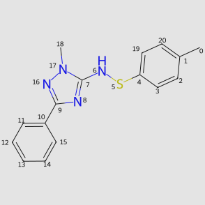 Cc1ccc(SNc2nc(-c3ccccc3)nn2C)cc1